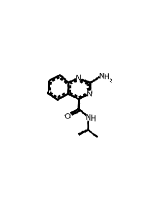 CC(C)NC(=O)c1nc(N)nc2ccccc12